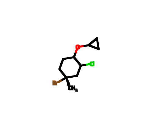 C[C@@]1(Br)CCC(OC2CC2)C(Cl)C1